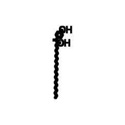 CCCCCCCCCCCCCCCCCCCCCC(O)C(C)c1ccc(O)cc1